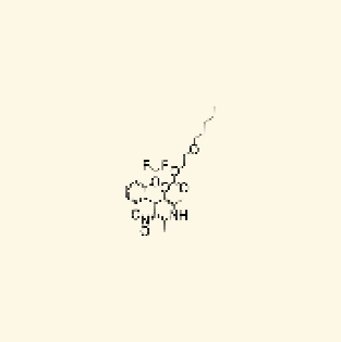 CCCCCOCCOC(=O)OC1=C(C)NC(C)=C([N+](=O)[O-])C1c1ccccc1OC(F)F